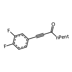 CCCCCC(=O)C#Cc1ccc(F)c(F)c1